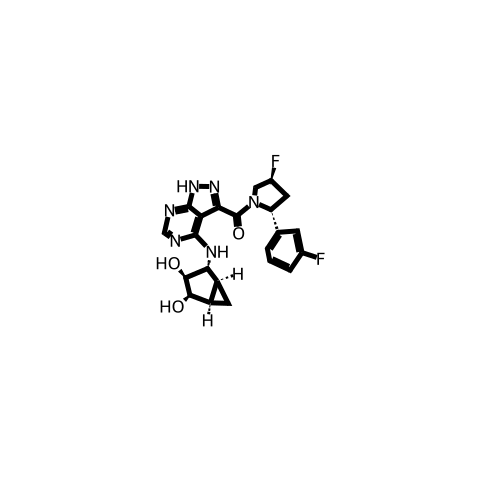 O=C(c1n[nH]c2ncnc(N[C@H]3[C@H](O)[C@H](O)[C@@H]4C[C@@H]43)c12)N1C[C@@H](F)C[C@@H]1c1cccc(F)c1